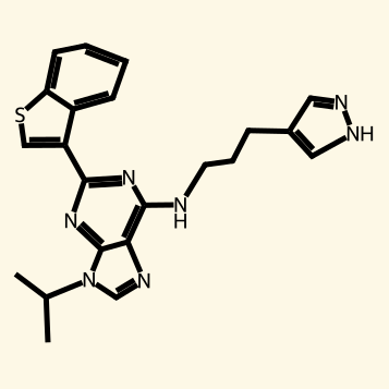 CC(C)n1cnc2c(NCCCc3cn[nH]c3)nc(-c3csc4ccccc34)nc21